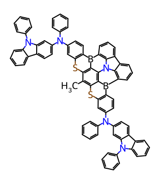 Cc1c2c3c4c5c1Sc1cc(N(c6ccccc6)c6ccc7c8ccccc8n(-c8ccccc8)c7c6)ccc1B5c1cccc5c6cccc(c6n-4c15)B3c1ccc(N(c3ccccc3)c3ccc4c5ccccc5n(-c5ccccc5)c4c3)cc1S2